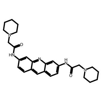 O=C(CN1CCCCC1)Nc1ccc2cc3ccc(NC(=O)CN4CCCCC4)cc3nc2c1